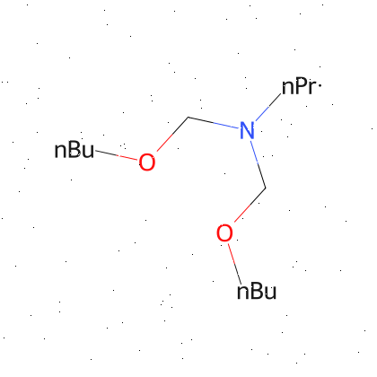 CC[CH]N(COCCCC)COCCCC